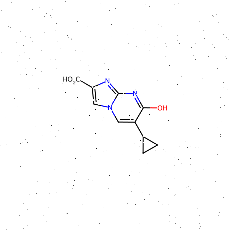 O=C(O)c1cn2cc(C3CC3)c(O)nc2n1